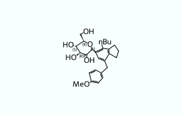 CCCCc1c([C@@H]2O[C@H](CO)[C@@H](O)[C@H](O)[C@H]2O)cc(Cc2ccc(OC)cc2)c2c1CCC2